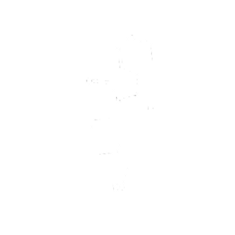 O=C1c2ccccc2C(=O)N1C1CCCC(CO)C1